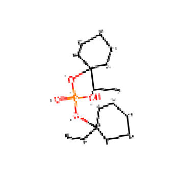 CCC1(OP(=O)(O)OC2(CC)CCCCC2)CCCCC1